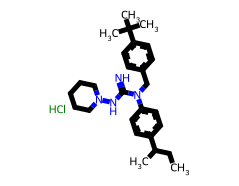 CCC(C)c1ccc(N(Cc2ccc(C(C)(C)C)cc2)C(=N)NN2CCCCC2)cc1.Cl